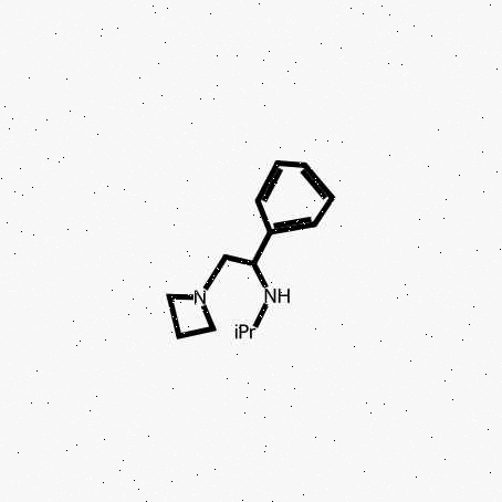 CC(C)NC(CN1CCC1)c1ccccc1